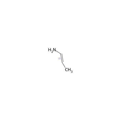 C/C=C/N